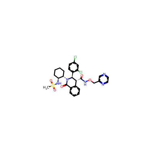 CS(=O)(=O)N[C@H]1CCCC[C@@H]1N1C(=O)c2ccccc2[C@@H](C(=O)NOCc2cnccn2)[C@@H]1c1ccc(Cl)cc1Cl